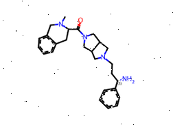 CN1Cc2ccccc2CC1C(=O)N1CC2CN(CC[C@H](N)c3ccccc3)CC2C1